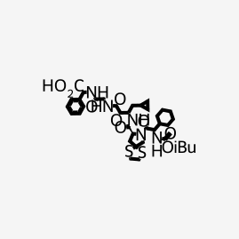 CC(C)COC(=O)N[C@H](C(=O)N1CC2(C[C@H]1C(=O)NC(CC1CC1)C(=O)C(=O)NCC(=O)N[C@H](C(=O)O)c1ccccc1)SCCS2)C1CCCCC1